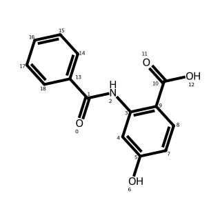 O=C(Nc1cc(O)ccc1C(=O)O)c1ccccc1